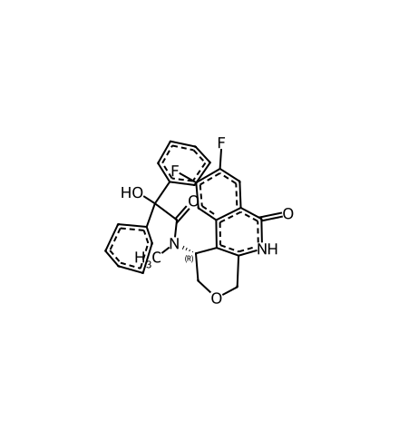 CN(C(=O)C(O)(c1ccccc1)c1ccccc1)[C@H]1COCc2[nH]c(=O)c3cc(F)c(F)cc3c21